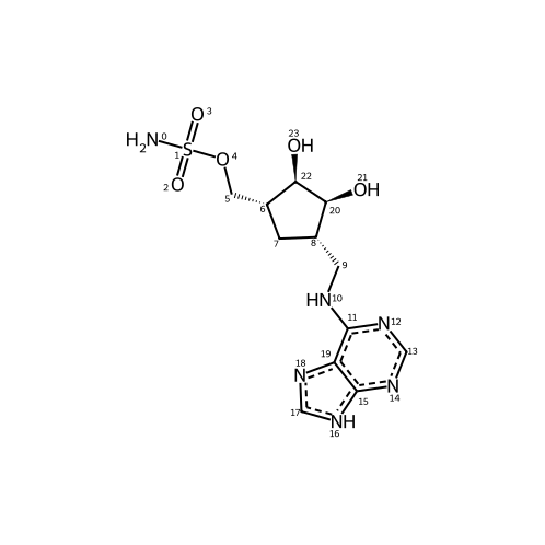 NS(=O)(=O)OC[C@H]1C[C@@H](CNc2ncnc3[nH]cnc23)[C@H](O)[C@@H]1O